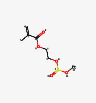 C=C(C)C(=O)OCCOS(=O)OCC